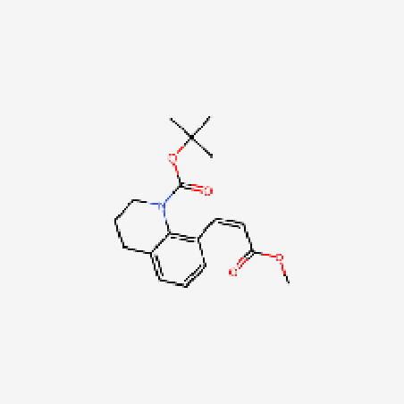 COC(=O)/C=C\c1cccc2c1N(C(=O)OC(C)(C)C)CCC2